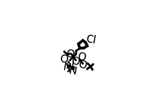 CC(=O)OC(CCc1ccc(Cl)cc1)(Cn1cncn1)OC(=O)OCC(C)(C)C